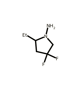 CCC1CC(F)(F)CN1N